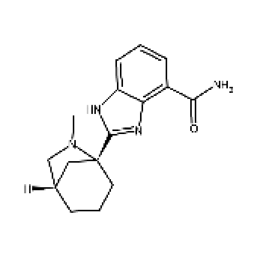 CN1C[C@H]2CCC[C@]1(c1nc3c(C(N)=O)cccc3[nH]1)C2